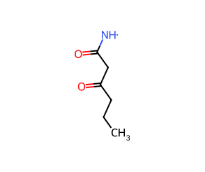 CCCC(=O)CC([NH])=O